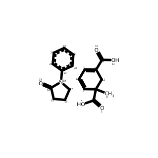 CC1(C(=O)O)C=CC=C(C(=O)O)C1.O=C1CCCN1c1ccccc1